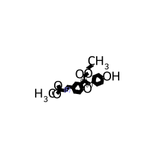 CCCOC(=O)[C@@H]1c2cc(/C=C/C(=O)OC)ccc2O[C@H]1c1ccc(O)cc1